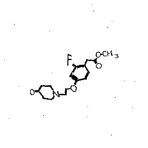 COC(=O)Cc1ccc(OCCN2CCC(=O)CC2)cc1F